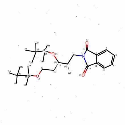 C[C@@H](CN1C(=O)c2ccccc2C1=O)[C@H](CCO[Si](C)(C)C(C)(C)C)O[Si](C)(C)C(C)(C)C